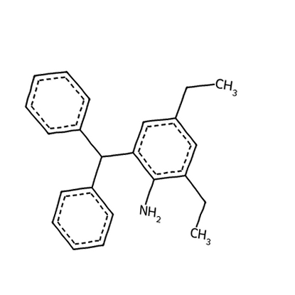 CCc1cc(CC)c(N)c(C(c2ccccc2)c2ccccc2)c1